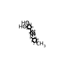 Cc1ccc(Cn2cc(-c3ccc(O)c(O)c3)nn2)cc1